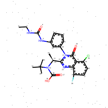 CCNC(=O)Nc1cccc(-n2c([C@H](C)N(C(=O)O)C(C)(C)C)nc3c(F)ccc(Cl)c3c2=O)c1